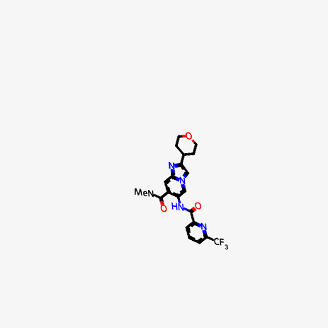 CNC(=O)c1cc2nc(C3CCOCC3)cn2cc1NC(=O)c1cccc(C(F)(F)F)n1